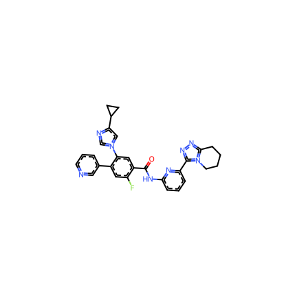 O=C(Nc1cccc(-c2nnc3n2CCCC3)n1)c1cc(-n2cnc(C3CC3)c2)c(-c2cccnc2)cc1F